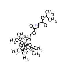 CC(C)OC(=O)/C=C/C(=O)OCCC[Si](O[Si](C)(C)C)(O[Si](C)(C)C)O[Si](C)(C)C